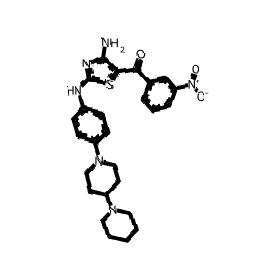 Nc1nc(Nc2ccc(N3CCC(N4CCCCC4)CC3)cc2)sc1C(=O)c1cccc([N+](=O)[O-])c1